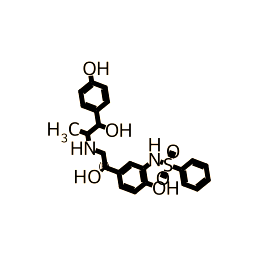 CC(NC[C@H](O)c1ccc(O)c(NS(=O)(=O)c2ccccc2)c1)C(O)c1ccc(O)cc1